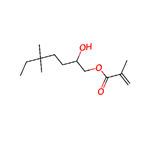 C=C(C)C(=O)OCC(O)CCC(C)(C)CC